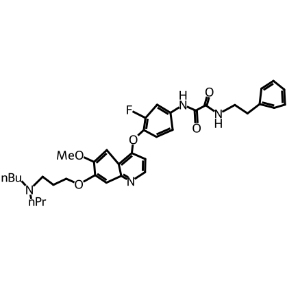 CCCCN(CCC)CCCOc1cc2nccc(Oc3ccc(NC(=O)C(=O)NCCc4ccccc4)cc3F)c2cc1OC